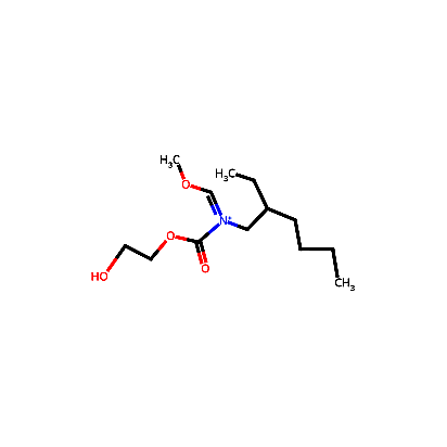 CCCCC(CC)C[N+](=COC)C(=O)OCCO